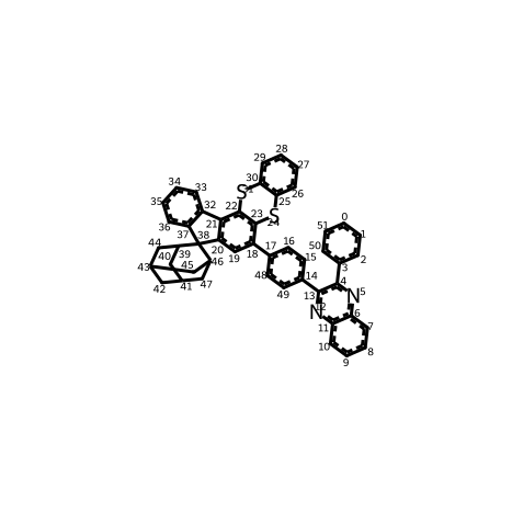 c1ccc(-c2nc3ccccc3nc2-c2ccc(-c3cc4c(c5c3Sc3ccccc3S5)-c3ccccc3C43C4CC5CC(C4)CC3C5)cc2)cc1